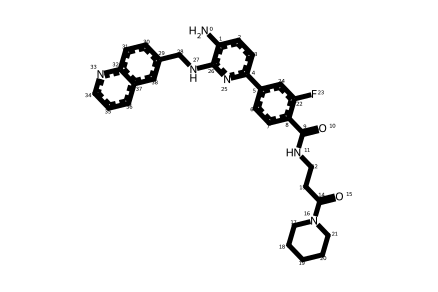 Nc1ccc(-c2ccc(C(=O)NCCC(=O)N3CCCCC3)c(F)c2)nc1NCc1ccc2ncccc2c1